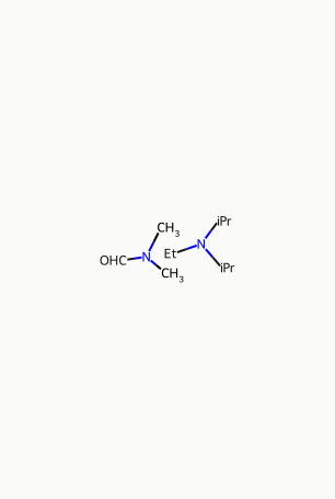 CCN(C(C)C)C(C)C.CN(C)C=O